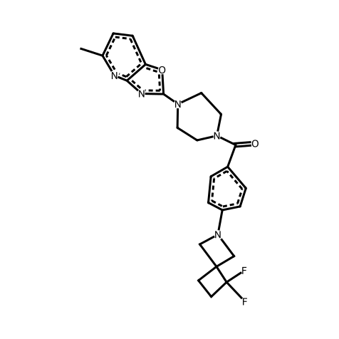 Cc1ccc2oc(N3CCN(C(=O)c4ccc(N5CC6(CCC6(F)F)C5)cc4)CC3)nc2n1